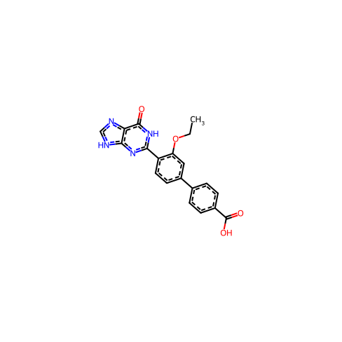 CCOc1cc(-c2ccc(C(=O)O)cc2)ccc1-c1nc2[nH]cnc2c(=O)[nH]1